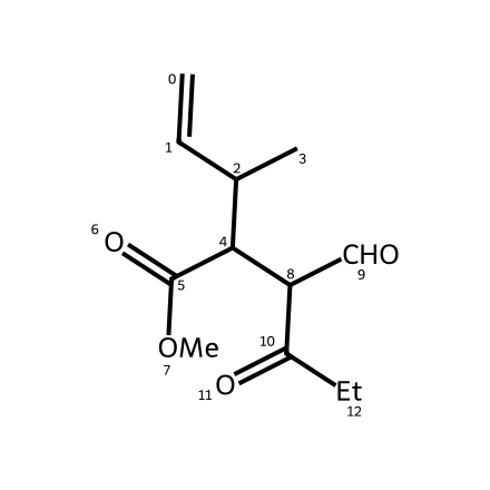 C=CC(C)C(C(=O)OC)C(C=O)C(=O)CC